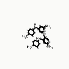 CC1CCC(Nc2cc(N)ncc2I)CC1.CC1CCC(Nc2ccnc(N)c2)CC1